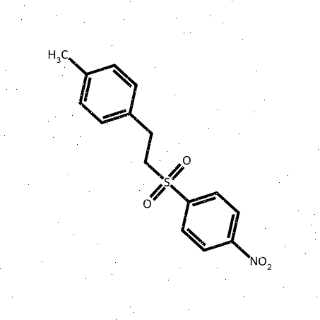 Cc1ccc(CCS(=O)(=O)c2ccc([N+](=O)[O-])cc2)cc1